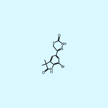 CC1(C)C(=O)Nc2c(Br)cc(C3=NNC(=O)SC3)cc21